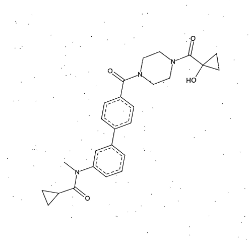 CN(C(=O)C1CC1)c1cccc(-c2ccc(C(=O)N3CCN(C(=O)C4(O)CC4)CC3)cc2)c1